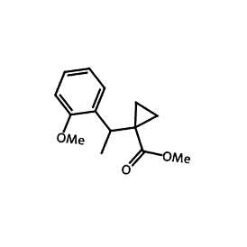 COC(=O)C1(C(C)c2ccccc2OC)CC1